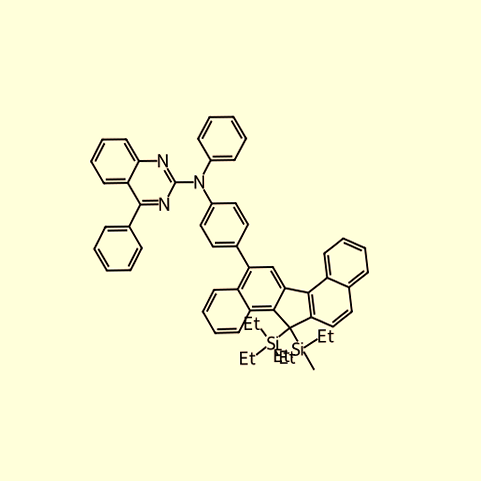 CC[Si](C)(CC)C1([Si](CC)(CC)CC)c2ccc3ccccc3c2-c2cc(-c3ccc(N(c4ccccc4)c4nc(-c5ccccc5)c5ccccc5n4)cc3)c3ccccc3c21